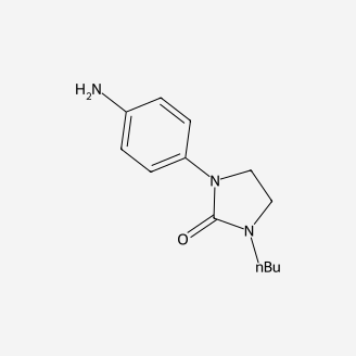 CCCCN1CCN(c2ccc(N)cc2)C1=O